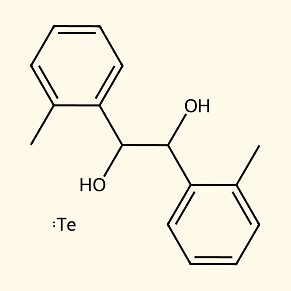 Cc1ccccc1C(O)C(O)c1ccccc1C.[Te]